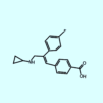 O=C(O)c1ccc(/C=C(/CNC2CC2)c2ccc(F)cc2)cc1